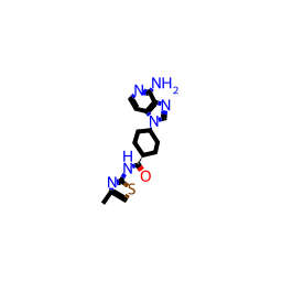 Cc1csc(NC(=O)[C@H]2CC[C@@H](n3cnc4c(N)nccc43)CC2)n1